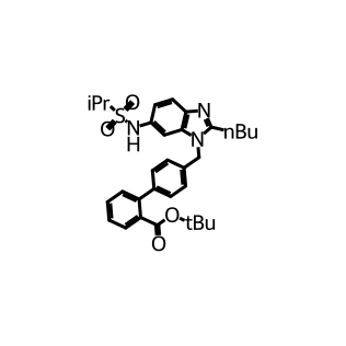 CCCCc1nc2ccc(NS(=O)(=O)C(C)C)cc2n1Cc1ccc(-c2ccccc2C(=O)OC(C)(C)C)cc1